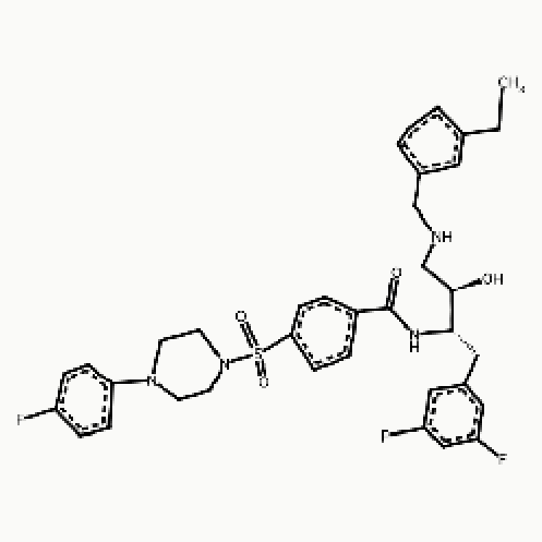 CCc1cccc(CNC[C@@H](O)[C@H](Cc2cc(F)cc(F)c2)NC(=O)c2ccc(S(=O)(=O)N3CCN(c4ccc(F)cc4)CC3)cc2)c1